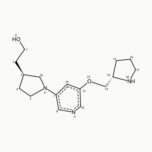 OCC[C@@H]1CCN(c2cncc(OC[C@@H]3CCCN3)c2)C1